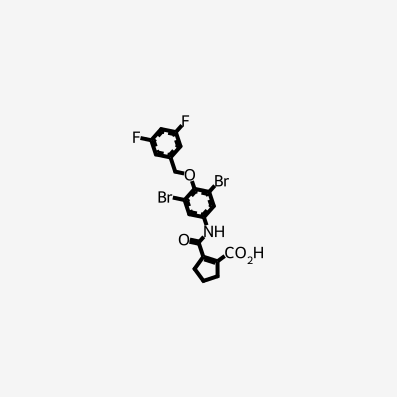 O=C(O)C1=C(C(=O)Nc2cc(Br)c(OCc3cc(F)cc(F)c3)c(Br)c2)CCC1